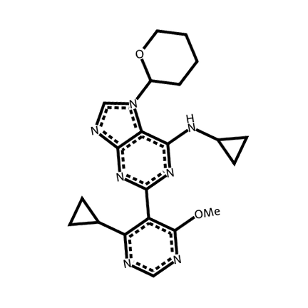 COc1ncnc(C2CC2)c1-c1nc(NC2CC2)c2c(ncn2C2CCCCO2)n1